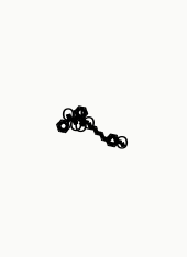 COc1ccc(CCCCCOC(=O)C2CCCCN2C(=O)C(=O)C2CCCCC2)cc1